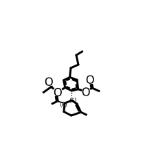 C=C(C)[C@@H]1CCC(C)=C[C@H]1c1c(OC(C)=O)cc(CCCC)cc1OC(C)=O